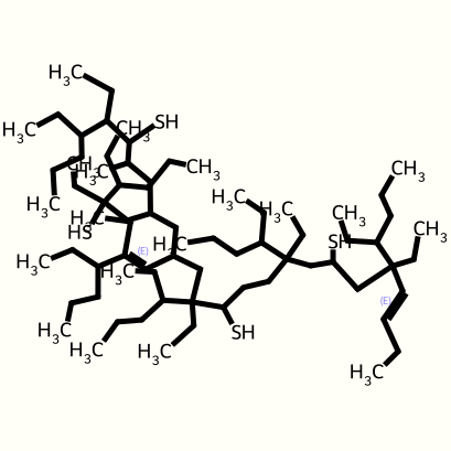 CC/C=C/C(CC)(CC(S)CC(CC)(CCC(S)C(CC)(CC(/C=C(\CC)C(CC)CCC)CC(CC(C)C(S)C(CC)C(CC)CCC)CC(S)(CC)C(CC)CCC)C(CC)CCC)C(CC)CCC)C(CC)CCC